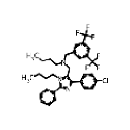 CCCCN(Cc1cc(C(F)(F)F)cc(C(F)(F)F)c1)Cc1c(-c2ccc(Cl)cc2)nc(-c2ccccc2)n1CCCC